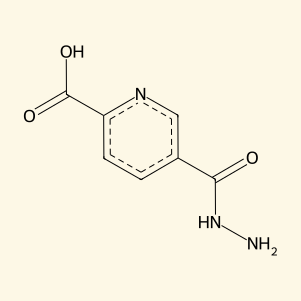 NNC(=O)c1ccc(C(=O)O)nc1